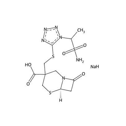 CC(n1nnnc1SCC1(C(=O)O)CS[C@@H]2CC(=O)N2C1)S(N)(=O)=O.[NaH]